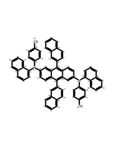 N#Cc1ccc(N(c2ccc3c(-c4ccc5ccccc5c4)c4cc(N(c5ccc(C#N)cc5)c5cccc6ccccc56)ccc4c(-c4ccc5ccccc5c4)c3c2)c2cccc3ccccc23)cc1